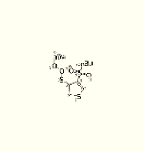 CCCCOOSC1CSC=C1S(=O)(=O)CCCC